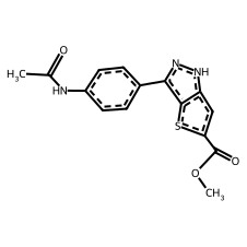 COC(=O)c1cc2[nH]nc(-c3ccc(NC(C)=O)cc3)c2s1